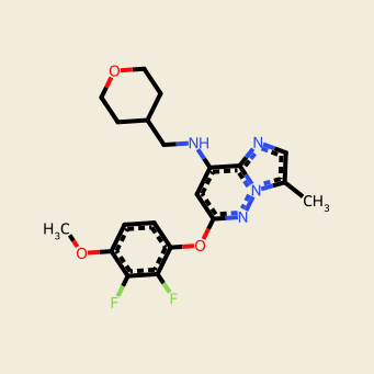 COc1ccc(Oc2cc(NCC3CCOCC3)c3ncc(C)n3n2)c(F)c1F